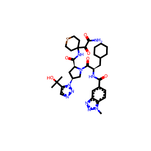 Cn1nnc2cc(C(=O)N[C@H](CC3CCCCC3)C(=O)N3C[C@@H](n4nncc4C(C)(C)O)C[C@H]3C(=O)NC3(C(=O)C(N)=O)CCSCC3)ccc21